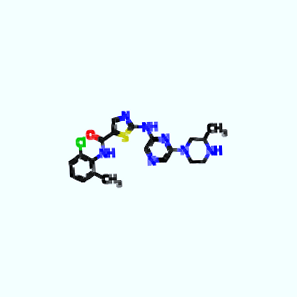 Cc1cccc(Cl)c1NC(=O)c1cnc(Nc2cncc(N3CCNC(C)C3)n2)s1